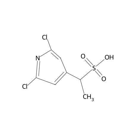 CC(c1cc(Cl)nc(Cl)c1)S(=O)(=O)O